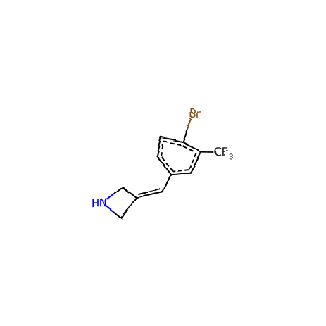 FC(F)(F)c1cc(C=C2CNC2)ccc1Br